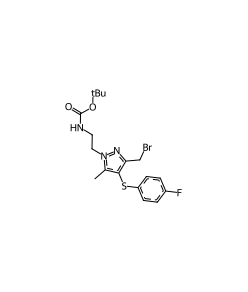 Cc1c(Sc2ccc(F)cc2)c(CBr)nn1CCNC(=O)OC(C)(C)C